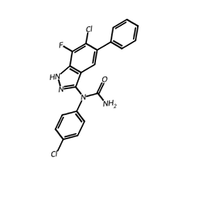 NC(=O)N(c1ccc(Cl)cc1)c1n[nH]c2c(F)c(Cl)c(-c3ccccc3)cc12